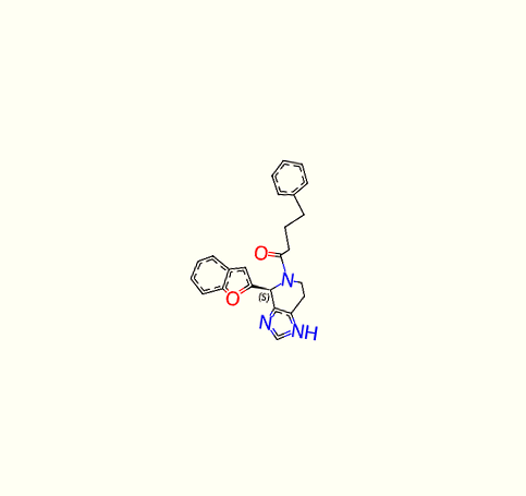 O=C(CCCc1ccccc1)N1CCc2[nH]cnc2[C@H]1c1cc2ccccc2o1